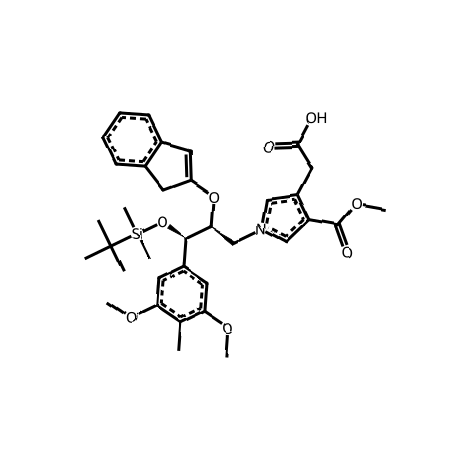 COC(=O)c1cn(C[C@H](OC2=Cc3ccccc3C2)[C@H](O[Si](C)(C)C(C)(C)C)c2cc(OC)c(C)c(OC)c2)cc1CC(=O)O